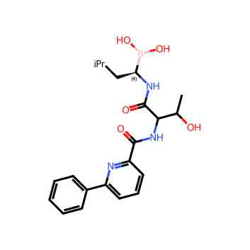 CC(C)C[C@H](NC(=O)C(NC(=O)c1cccc(-c2ccccc2)n1)C(C)O)B(O)O